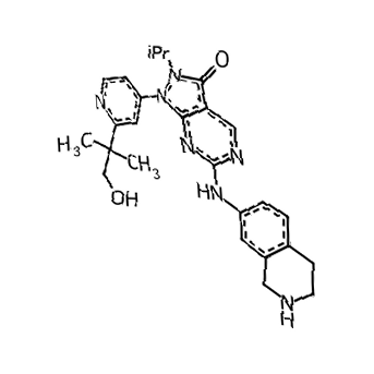 CC(C)n1c(=O)c2cnc(Nc3ccc4c(c3)CNCC4)nc2n1-c1ccnc(C(C)(C)CO)c1